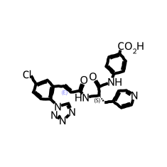 O=C(/C=C/c1cc(Cl)ccc1-n1cnnn1)N[C@@H](Cc1ccncc1)C(=O)Nc1ccc(C(=O)O)cc1